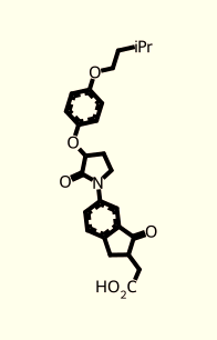 CC(C)CCOc1ccc(OC2CCN(c3ccc4c(c3)C(=O)C(CC(=O)O)C4)C2=O)cc1